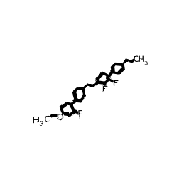 CCCc1ccc(-c2ccc(CCC3CC=C(c4ccc(OCC)cc4F)CC3)c(F)c2F)cc1